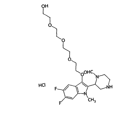 Cl.Cn1c(C2CNCCN2C=O)c(OCCOCCOCCOCCO)c2cc(F)c(F)cc21